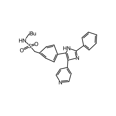 CCC(C)NS(=O)(=O)Cc1ccc(-c2[nH]c(-c3ccccc3)nc2-c2ccncc2)cc1